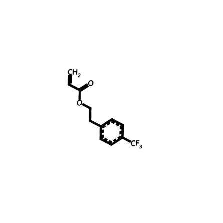 C=CC(=O)OCCc1ccc(C(F)(F)F)cc1